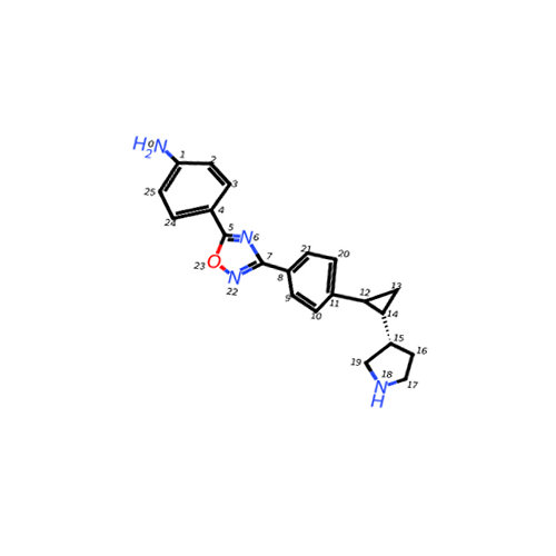 Nc1ccc(-c2nc(-c3ccc(C4CC4[C@@H]4CCNC4)cc3)no2)cc1